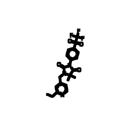 CCc1cc(CN2C(=O)N(c3ccc(S(=O)(=O)C(F)(F)F)cc3)C(=O)C2(C)C)ccn1